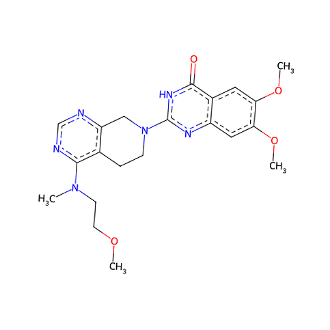 COCCN(C)c1ncnc2c1CCN(c1nc3cc(OC)c(OC)cc3c(=O)[nH]1)C2